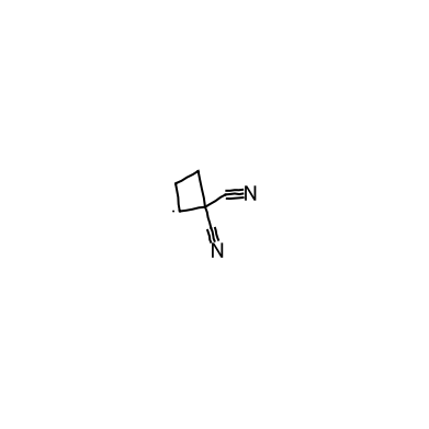 N#CC1(C#N)[CH]CC1